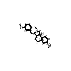 COc1cccc(C[C@@H]2C3CCc4cc(OC)ccc4[C@H]3CN2C)c1